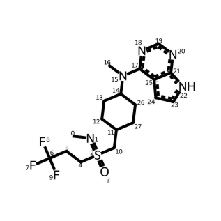 CN=S(=O)(CCC(F)(F)F)CC1CCC(N(C)c2ncnc3[nH]ccc23)CC1